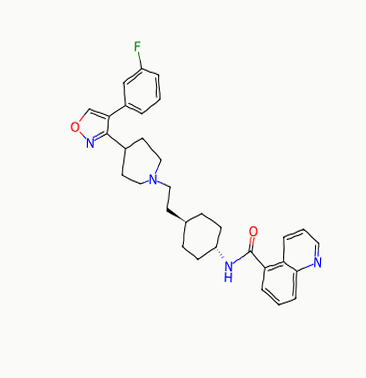 O=C(N[C@H]1CC[C@H](CCN2CCC(c3nocc3-c3cccc(F)c3)CC2)CC1)c1cccc2ncccc12